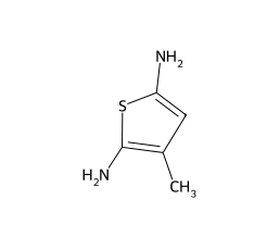 Cc1cc(N)sc1N